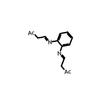 CC(=O)CC=Nc1ccccc1N=CCC(C)=O